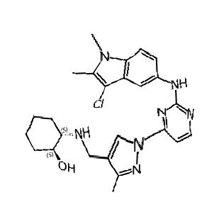 Cc1nn(-c2ccnc(Nc3ccc4c(c3)c(Cl)c(C)n4C)n2)cc1CN[C@H]1CCCC[C@@H]1O